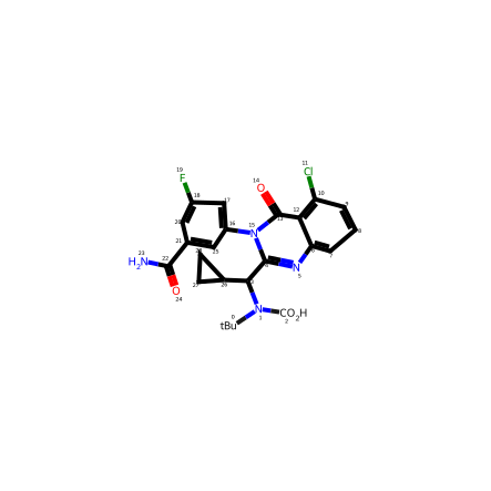 CC(C)(C)N(C(=O)O)C(c1nc2cccc(Cl)c2c(=O)n1-c1cc(F)cc(C(N)=O)c1)C1CC1